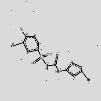 O=C(Nc1ncc(Br)s1)NS(=O)(=O)c1ccc(F)c(Cl)c1